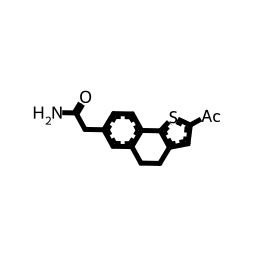 CC(=O)c1cc2c(s1)-c1ccc(CC(N)=O)cc1CC2